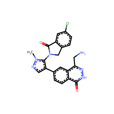 Cn1ncc(-c2ccc3c(=O)[nH]nc(CN)c3c2)c1N1Cc2ccc(Cl)cc2C1=O